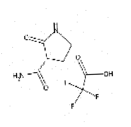 NC(=O)[C@H]1CCNC1=O.O=C(O)C(F)(F)F